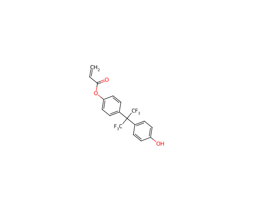 C=CC(=O)Oc1ccc(C(c2ccc(O)cc2)(C(F)(F)F)C(F)(F)F)cc1